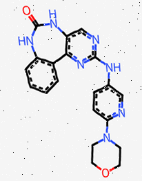 O=C1Nc2ccccc2-c2nc(Nc3ccc(N4CCOCC4)nc3)ncc2N1